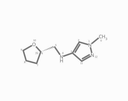 Cn1cc(NC[C@@H]2CCCO2)cn1